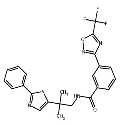 CC(C)(CNC(=O)c1cccc(-c2noc(C(F)(F)F)n2)c1)c1cnc(-c2ccccc2)s1